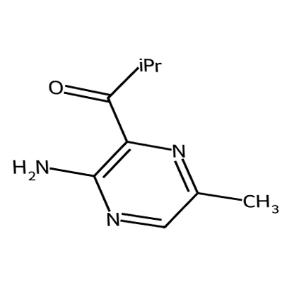 Cc1cnc(N)c(C(=O)C(C)C)n1